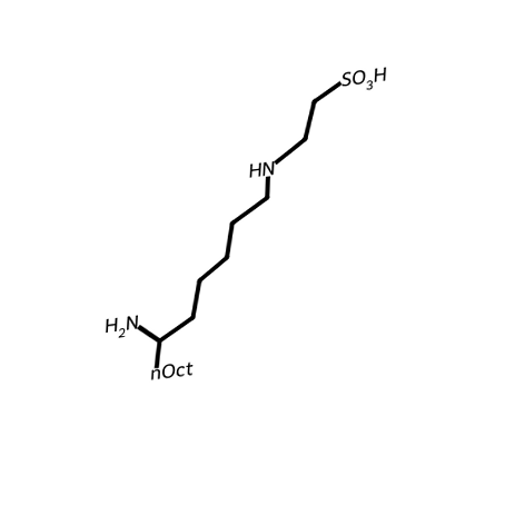 CCCCCCCCC(N)CCCCCNCCS(=O)(=O)O